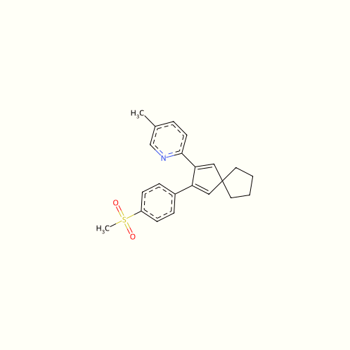 Cc1ccc(C2=CC3(C=C2c2ccc(S(C)(=O)=O)cc2)CCCC3)nc1